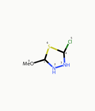 COC1NNC(Cl)S1